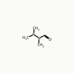 CN(C)N(C)[C]=O